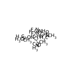 Cc1noc(C)c1-c1ccc2c(-c3nc(N[C@@H]4CNC[C@H](C(=O)N(C)C)C4)ncc3C(F)(F)F)cn(COCC[Si](C)(C)C)c2c1